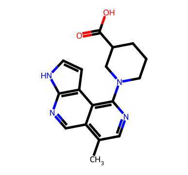 Cc1cnc(N2CCCC(C(=O)O)C2)c2c1cnc1[nH]ccc12